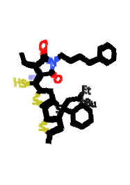 CC=C1C(=O)N(CCCCc2ccccc2)C(=O)/C1=C(/S)c1cc2c(s1)-c1sc(C)cc1[Si]2(CC(CC)CCCC)C1CCCCC1